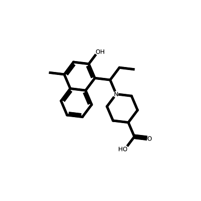 CCC(c1c(O)cc(C)c2ccccc12)N1CCC(C(=O)O)CC1